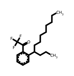 CCCCCCCCC(CCC)c1ccccc1C(=O)C(F)(F)F